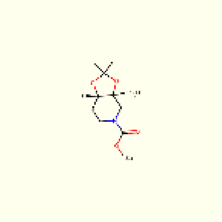 CC(C)(C)OC(=O)N1CC[C@@H]2OC(C)(C)O[C@]2(C(=O)O)C1